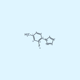 Cc1ccc(-n2cncn2)c(F)c1